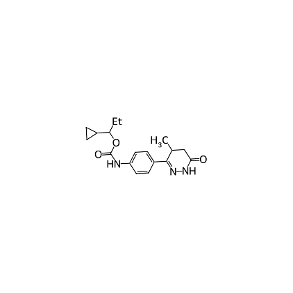 CCC(OC(=O)Nc1ccc(C2=NNC(=O)CC2C)cc1)C1CC1